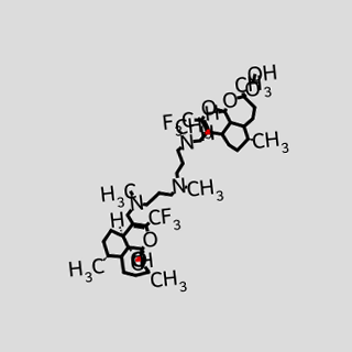 C[C@@H]1CC[C@H]2C(CN(C)CCCN(C)CCCN(C)CC3=C(C(F)(F)F)O[C@@H]4O[C@]5(C)CCC6[C@H](C)CC[C@@H]3[C@]64OO5)=C(C(F)(F)F)O[C@@H]3OC(C)(OO)CCC1C32